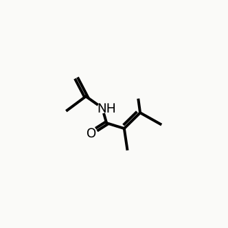 C=C(C)NC(=O)C(C)=C(C)C